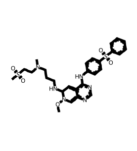 CON1C=c2ncnc(Nc3ccc(S(=O)(=O)c4ccccc4)cc3)c2=CC1NCCCN(C)CCS(C)(=O)=O